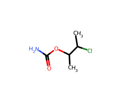 CC(Cl)C(C)OC(N)=O